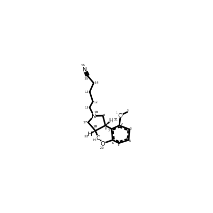 COc1cccc2c1[C@H]1CN(CCCCC#N)C[C@H]1CO2